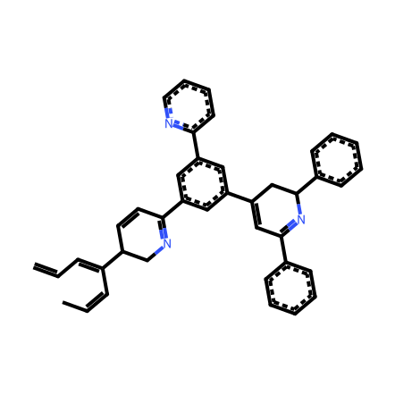 C=C/C=C(\C=C/C)C1C=CC(c2cc(C3=CC(c4ccccc4)=NC(c4ccccc4)C3)cc(-c3ccccn3)c2)=NC1